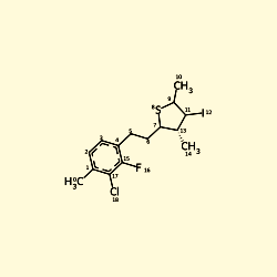 Cc1ccc(CCC2SC(C)C(I)[C@@H]2C)c(F)c1Cl